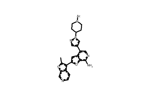 CC(=O)N1CCC(n2cc(-c3cnc(N)c4oc(-c5c(C)sc6cnccc56)cc34)cn2)CC1